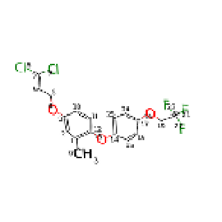 Cc1cc(OCC=C(Cl)Cl)ccc1Oc1ccc(OCC(F)(F)F)cc1